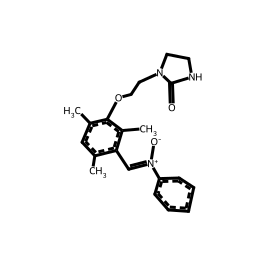 Cc1cc(C)c(OCCN2CCNC2=O)c(C)c1C=[N+]([O-])c1ccccc1